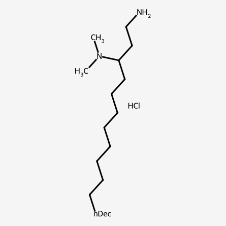 CCCCCCCCCCCCCCCCCCC(CCN)N(C)C.Cl